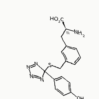 N[C@@H](Cc1cccc(CSC2(c3ccc(O)cc3)N=NN=N2)c1)C(=O)O